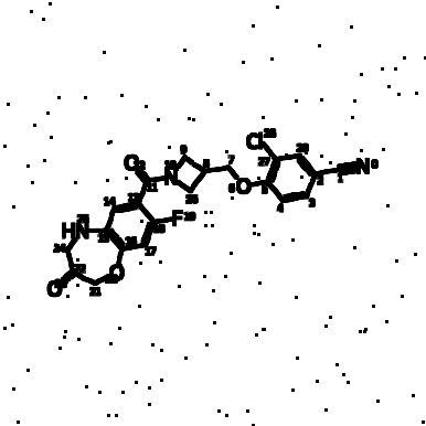 N#Cc1ccc(OCC2CN(C(=O)c3cc4c(cc3F)OCC(=O)CN4)C2)c(Cl)c1